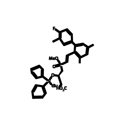 COP(=O)(C=Cc1c(C)cc(C)cc1-c1ccc(F)c(C)c1)C[C@@H](CC(=O)O)O[Si](c1ccccc1)(c1ccccc1)C(C)(C)C